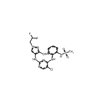 COc1nn(CC(F)F)cc1Nc1ncc(Cl)c(Nc2ccccc2NS(C)(=O)=O)n1